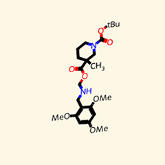 COc1cc(OC)c(CNCOC(=O)C2(C)CCCN(C(=O)OC(C)(C)C)C2)c(OC)c1